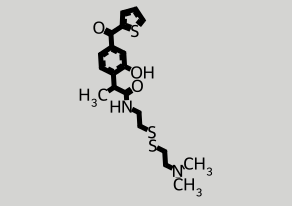 CC(C(=O)NCCSSCCN(C)C)c1ccc(C(=O)c2cccs2)cc1O